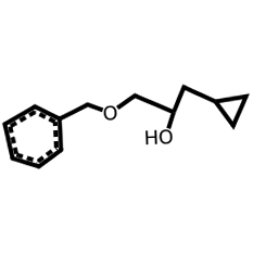 OC(COCc1ccccc1)CC1CC1